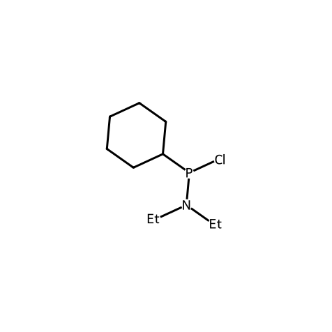 CCN(CC)P(Cl)C1CCCCC1